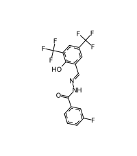 O=C(N/N=C/c1cc(C(F)(F)F)cc(C(F)(F)F)c1O)c1cccc(F)c1